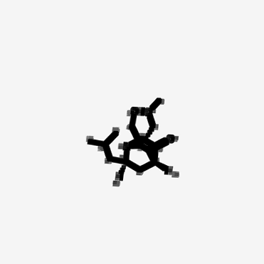 COC[C@]1(CO)C(=O)[C@@H]2CCN1[C@H](CC(C)C)C2